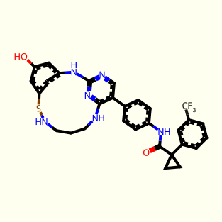 O=C(Nc1ccc(-c2cnc3nc2NCCCNSc2cc(O)cc(c2)N3)cc1)C1(c2cccc(C(F)(F)F)c2)CC1